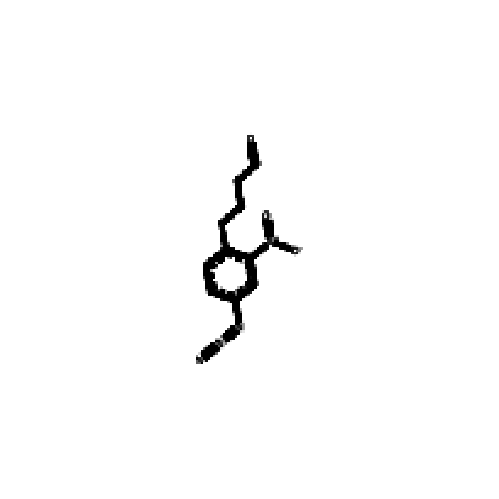 [N-]=[N+]=Nc1ccc(CCCC=O)c([N+](=O)[O-])c1